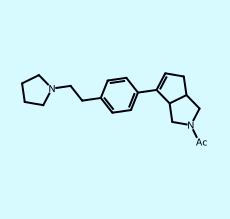 CC(=O)N1CC2CC=C(c3ccc(CCN4CCCC4)cc3)C2C1